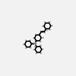 C(=CC1CCC(N(C2CCCCC2)C2CCCCC2)CC1)C1CCCCC1